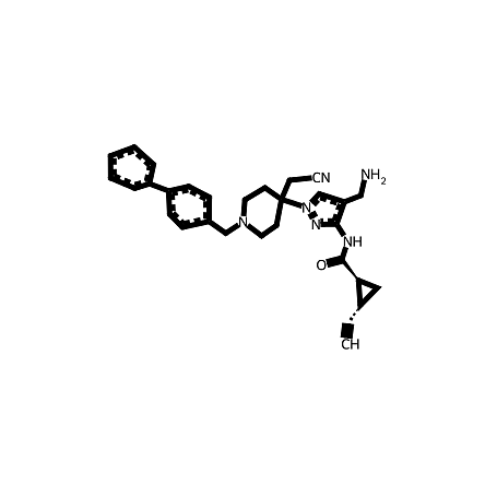 C#C[C@H]1C[C@@H]1C(=O)Nc1nn(C2(CC#N)CCN(Cc3ccc(-c4ccccc4)cc3)CC2)cc1CN